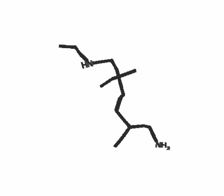 CCNCC(C)(C)CCC(C)CN